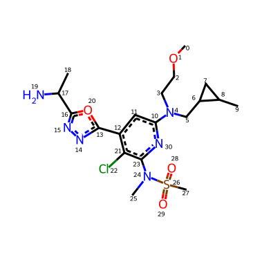 COCCN(CC1CC1C)c1cc(-c2nnc(C(C)N)o2)c(Cl)c(N(C)S(C)(=O)=O)n1